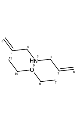 C=CCNCC=C.CCOCC